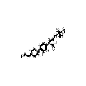 COC(=S)NCC1CN(c2ccc(N3CCN(CCF)CC3)c(F)c2)C(=O)O1